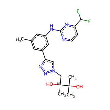 Cc1cc(Nc2nccc(C(F)F)n2)cc(-c2cn(C[C@](C)(O)C(C)(C)O)nn2)c1